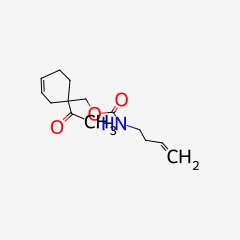 C=CCCNC(=O)OCC1(C(C)=O)CC=CCC1